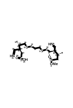 COS(=O)C[C@@H](C)[C@H](C=N)CSSCCSSC[C@@H](C)[C@H](C=N)CS(=O)O